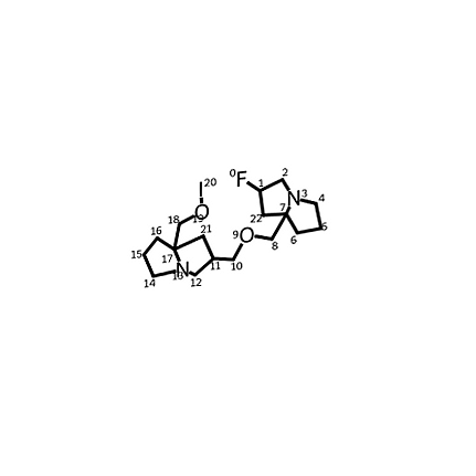 FC1CN2CCCC2(COCC2CN3CCCC3(COI)C2)C1